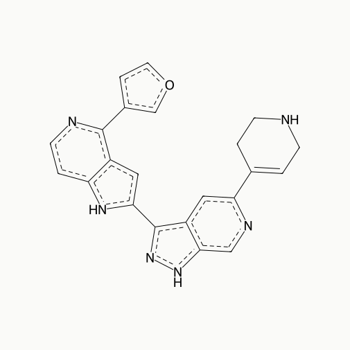 C1=C(c2cc3c(-c4cc5c(-c6ccoc6)nccc5[nH]4)n[nH]c3cn2)CCNC1